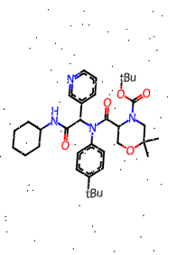 CC(C)(C)OC(=O)N1CC(C)(C)OCC1C(=O)N(c1ccc(C(C)(C)C)cc1)C(C(=O)NC1CCCCC1)c1cccnc1